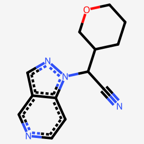 N#CC(C1CCCOC1)n1ncc2cnccc21